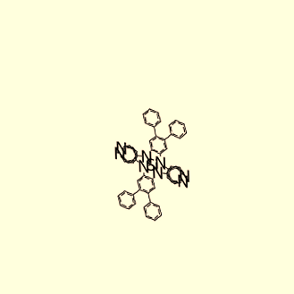 c1ccc(-c2cc3c(cc2-c2ccccc2)N(c2ccncc2)[Si]2(N3c3ccncc3)N(c3ccncc3)c3cc(-c4ccccc4)c(-c4ccccc4)cc3N2c2ccncc2)cc1